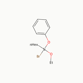 CCCCCC[Si](Br)(OCC)Oc1ccccc1